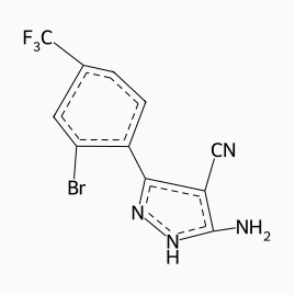 N#Cc1c(-c2ccc(C(F)(F)F)cc2Br)n[nH]c1N